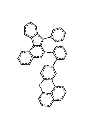 c1ccc(-n2c3ccccc3c3c4ccccc4cc(-c4ccccc4-c4ccc5c(c4)-c4cccc6cccc(c46)S5)c32)cc1